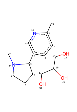 Cc1ccc(C2CCCN2C)cn1.OCC(O)CO